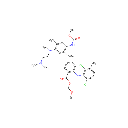 CCOCOC(=O)c1ccccc1Nc1c(Cl)ccc(C)c1Cl.COc1cc(N(C)CCN(C)C)c([N+](=O)[O-])cc1NC(=O)OC(C)(C)C